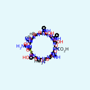 CCCC[C@@H]1C(=O)N(C)[C@H](CCCC)C(=O)N[C@@H](CCCN)C(=O)N[C@@H](C(=O)NCC(N)=O)CSCC(=O)N[C@@H](Cc2ccc(O)cc2)C(=O)N2CCCCC2C(=O)N[C@H](CC(=O)O)C(=O)N2CCC[C@H]2C(=O)N[C@H](Cc2c[nH]cn2)C(=O)N[C@@H](CCC(=O)O)C(=O)N2C[C@H](O)CC2C(=O)N[C@H](Cc2c[nH]c3ccccc23)C(=O)N[C@@H](CO)C(=O)N[C@@H](Cc2c[nH]c3ccccc23)C(=O)N1C